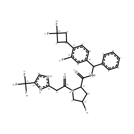 O=C(NC(c1ccccc1)c1ccc(C2CC(F)(F)C2)c(F)c1)C1CC(F)CN1C(=O)Cc1nc(C(F)(F)F)co1